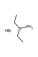 Br.CCN(P)CC